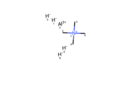 C[N+](C)(C)C.[Al+3].[H-].[H-].[H-].[H-]